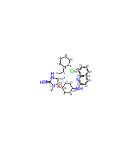 CN1C(=N)N[C@@](CCC2CCCCC2)(C[C@H]2CCCC(Nc3ccc4cccc(Cl)c4n3)C2)C1=O